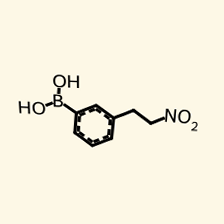 O=[N+]([O-])CCc1cccc(B(O)O)c1